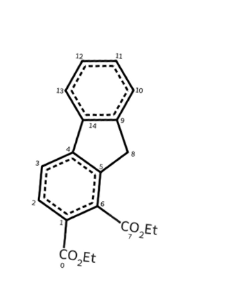 CCOC(=O)c1ccc2c(c1C(=O)OCC)Cc1ccccc1-2